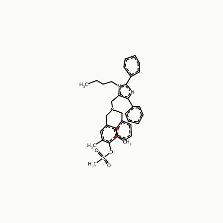 CCCCn1c(-c2ccccc2)nc(-c2ccccc2)c1CN(Cc1ccccc1)Cc1cc(C)c(OS(C)(=O)=O)c(C)c1